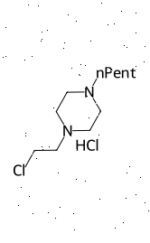 CCCCCN1CCN(CCCl)CC1.Cl